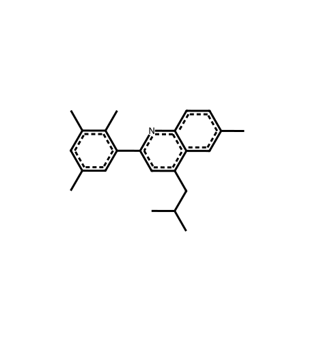 Cc1cc(C)c(C)c(-c2cc(CC(C)C)c3cc(C)ccc3n2)c1